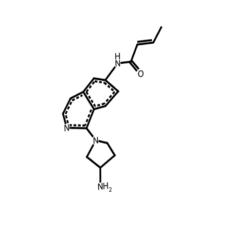 CC=CC(=O)Nc1ccc2c(N3CCC(N)C3)nccc2c1